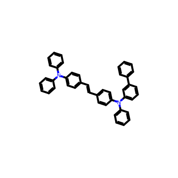 C(=C\c1ccc(N(c2ccccc2)c2cccc(-c3ccccc3)c2)cc1)/c1ccc(N(c2ccccc2)c2ccccc2)cc1